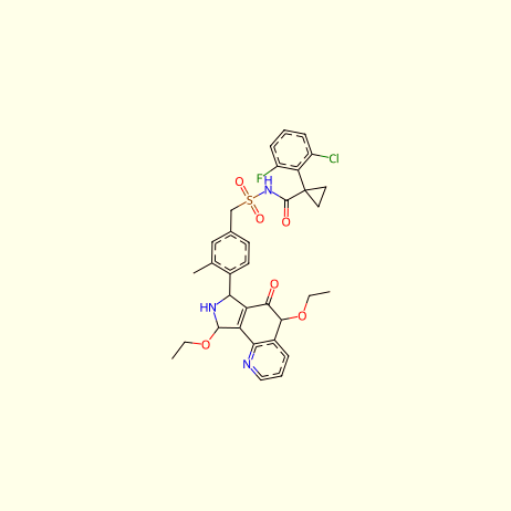 CCOC1NC(c2ccc(CS(=O)(=O)NC(=O)C3(c4c(F)cccc4Cl)CC3)cc2C)C2=C1c1ncccc1C(OCC)C2=O